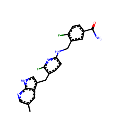 Cc1cnc2[nH]cc(Cc3ccc(NCc4cc(C(N)=O)ccc4F)nc3F)c2c1